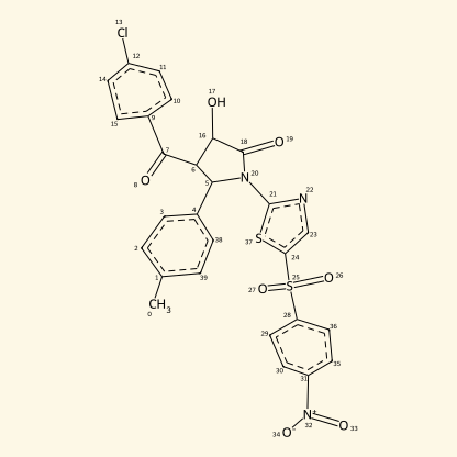 Cc1ccc(C2C(C(=O)c3ccc(Cl)cc3)C(O)C(=O)N2c2ncc(S(=O)(=O)c3ccc([N+](=O)[O-])cc3)s2)cc1